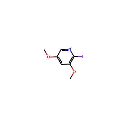 COc1cnc(I)c(OC)c1